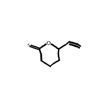 C=CC1CCCC(=S)O1